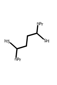 CCCC(S)CCC(S)CCC